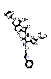 O=CNc1nc(/C(=N\OC/C=C/c2ccccc2)C(=O)NC2C(=O)N3C(C(=O)O)=C(CSc4nncs4)CS[C@H]23)cs1